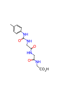 Cc1ccc(NC(=O)NCC(=O)NCC(=O)NCC(=O)O)cc1